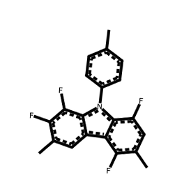 Cc1ccc(-n2c3c(F)c(F)c(C)cc3c3c(F)c(C)cc(F)c32)cc1